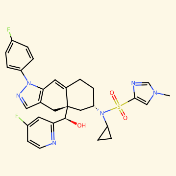 Cn1cnc(S(=O)(=O)N(C2CC2)[C@H]2CCC3=Cc4c(cnn4-c4ccc(F)cc4)C[C@]3([C@@H](O)c3cc(F)ccn3)C2)c1